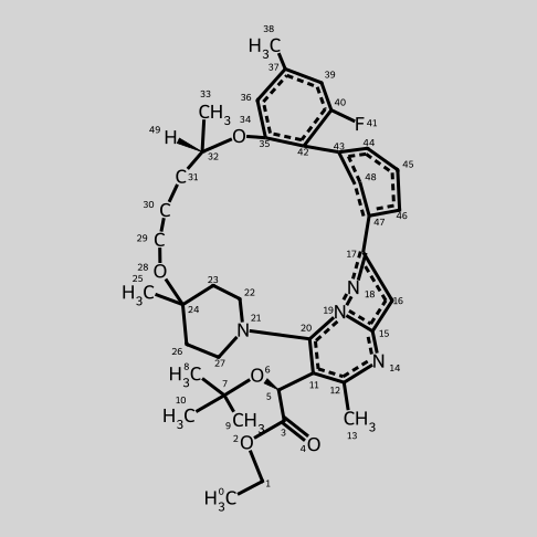 CCOC(=O)[C@@H](OC(C)(C)C)c1c(C)nc2cc3nn2c1N1CCC(C)(CC1)OCCC[C@H](C)Oc1cc(C)cc(F)c1-c1cccc-3c1